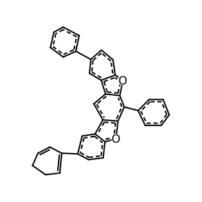 C1=CC(c2ccc3oc4c(-c5ccccc5)c5oc6ccc(-c7ccccc7)cc6c5cc4c3c2)=CCC1